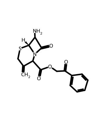 C=C1CS[C@@H]2C(N)C(=O)N2C1C(=O)OCC(=O)c1ccccc1